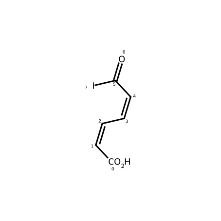 O=C(O)/C=C\C=C/C(=O)I